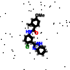 COc1ccc(C(=O)Nc2ccc(Cl)c(-c3nc4ccccc4[nH]3)c2)c(C)c1